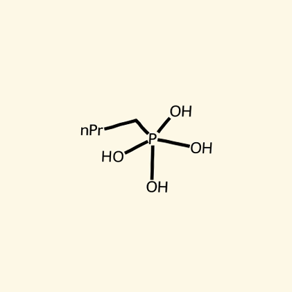 CCCCP(O)(O)(O)O